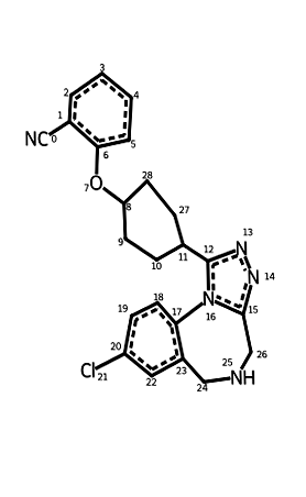 N#Cc1ccccc1OC1CCC(c2nnc3n2-c2ccc(Cl)cc2CNC3)CC1